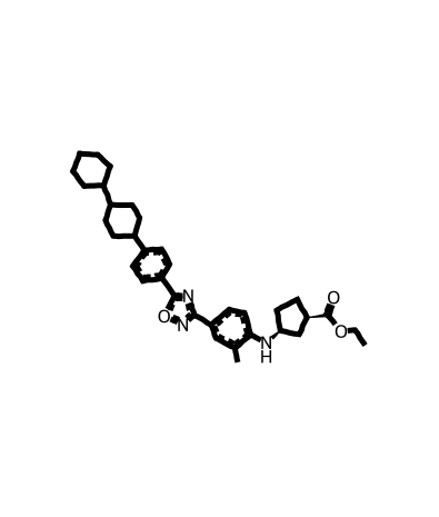 CCOC(=O)[C@@H]1CC[C@H](Nc2ccc(-c3noc(-c4ccc(C5CCC(C6CCCCC6)CC5)cc4)n3)cc2C)C1